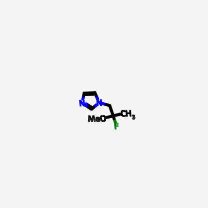 COC(C)(F)Cn1ccnc1